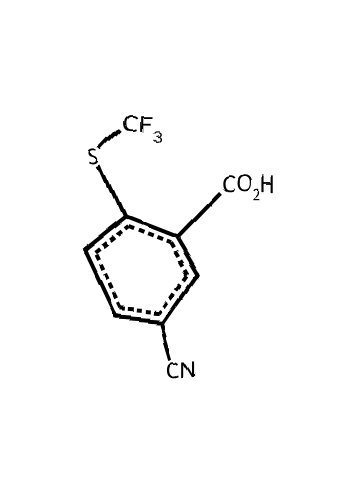 N#Cc1ccc(SC(F)(F)F)c(C(=O)O)c1